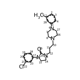 Cc1cccc(N2CCN(CCCN3CCN(c4cccc(Cl)c4)C3=O)CC2)c1